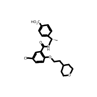 C[C@H](NC(=O)c1cc(Cl)ccc1OCCC1CCOCC1)c1ccc(C(=O)O)cc1